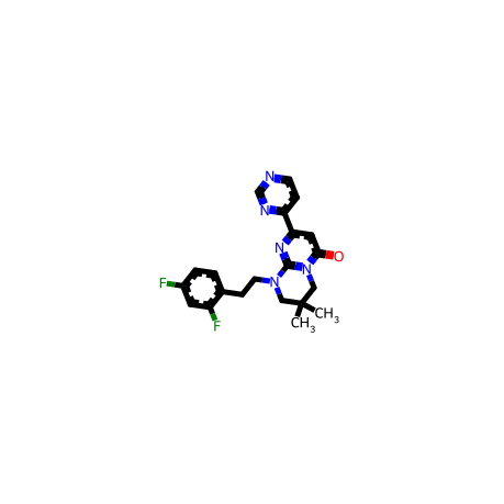 CC1(C)CN(CCc2ccc(F)cc2F)c2nc(-c3ccncn3)cc(=O)n2C1